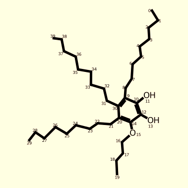 CCCCCCCCCc1c(O)c(O)c(OCCCC)c(CCCCCCCCC)c1CCCCCCCCC